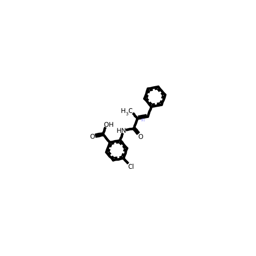 C/C(=C\c1ccccc1)C(=O)Nc1cc(Cl)ccc1C(=O)O